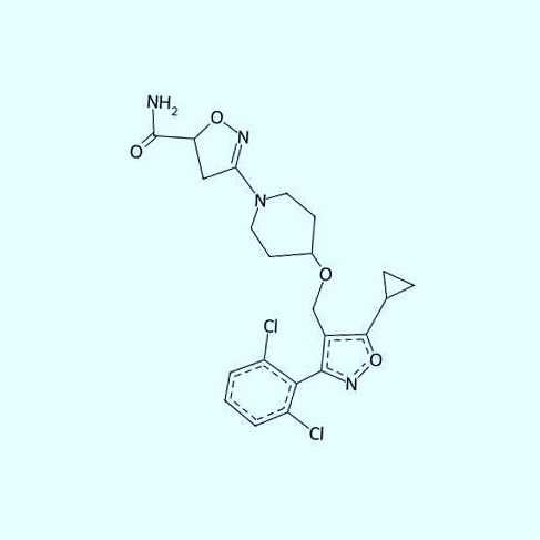 NC(=O)C1CC(N2CCC(OCc3c(-c4c(Cl)cccc4Cl)noc3C3CC3)CC2)=NO1